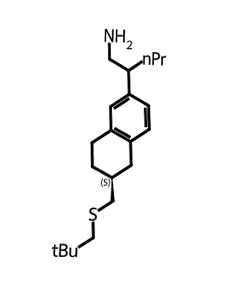 CCCC(CN)c1ccc2c(c1)CC[C@H](CSCC(C)(C)C)C2